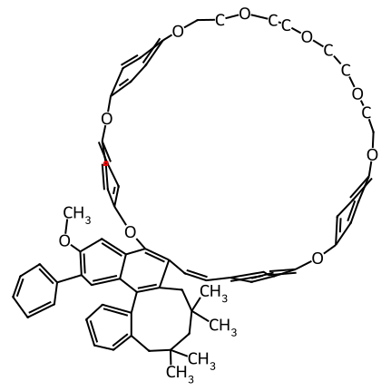 COc1cc2c3c(c4c(c2cc1-c1ccccc1)-c1ccccc1CC(C)(C)CC(C)(C)C4)/C=C\c1ccc(cc1)Oc1ccc(cc1)OCCOCCOCCOCCOc1ccc(cc1)Oc1ccc(cc1)O3